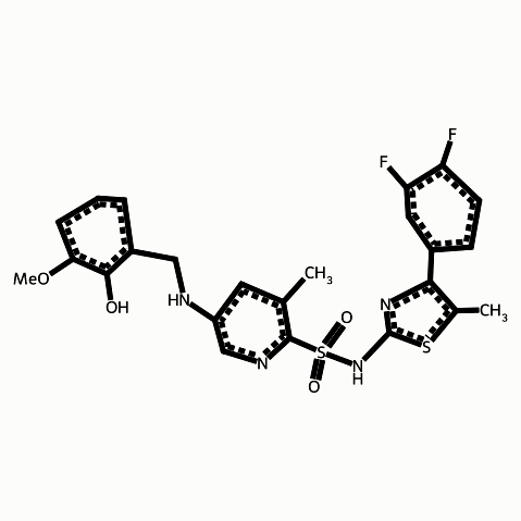 COc1cccc(CNc2cnc(S(=O)(=O)Nc3nc(-c4ccc(F)c(F)c4)c(C)s3)c(C)c2)c1O